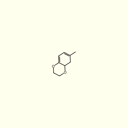 CC1=CC=C2OCCOC2C1